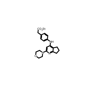 CCOC(=O)Cc1ccc(Nc2cc(N3CCOCC3)nc3c2CCC3)cc1